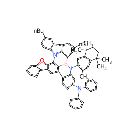 CCCCc1ccc2c(c1)c1cc(CCCC)cc3c1n2-c1c2c(cc4c1oc1ccccc14)-c1ccc(N(c4ccccc4)c4ccccc4)cc1N(c1cc4c(cc1C)C(C)(C)CCC4(C)C)B23